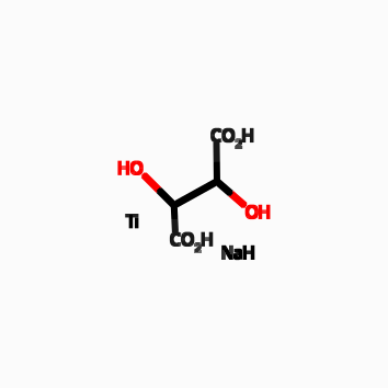 O=C(O)C(O)C(O)C(=O)O.[NaH].[Ti]